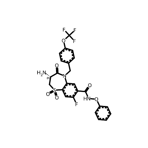 N[C@H]1CS(=O)(=O)c2cc(F)c(C(=O)NOc3ccccc3)cc2N(Cc2ccc(OC(F)(F)F)cc2)C1=O